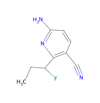 CCC(F)c1nc(N)ccc1C#N